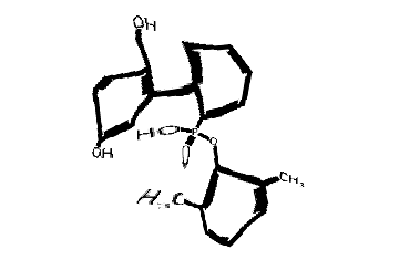 Cc1cccc(C)c1OP(=O)(O)c1ccccc1-c1cc(O)ccc1O